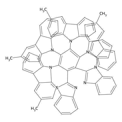 Cc1ccc2c(c1)c1ccccc1n2-c1c(-c2nc3ccccc3s2)c(-c2nc3ccccc3n2-c2ccccc2)c(-n2c3ccccc3c3cc(C)ccc32)c(-n2c3ccccc3c3cc(C)ccc32)c1-n1c2ccccc2c2cc(C)ccc21